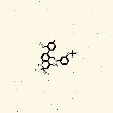 COc1cc(F)ccc1-c1ccc2c(c1COc1cccc(OC(F)(F)F)c1)C(C)=CC(C)(C)N2